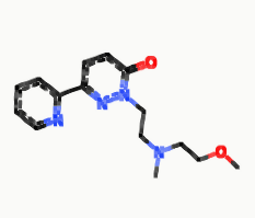 COCCN(C)CCn1nc(-c2ccccn2)ccc1=O